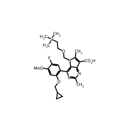 COc1cc(OCC2CC2)c(-c2nc(C)nc3c(C(=O)O)c(C)n(COCC[Si](C)(C)C)c23)cc1F